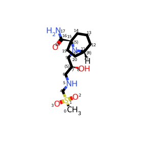 CS(=O)(=O)CNC[C@H](O)CN1[C@@H]2C[CH]C[C@@]1(C(N)=O)CC2